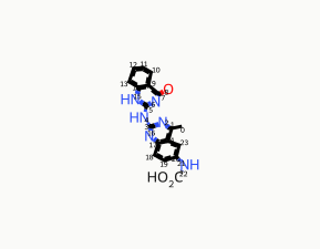 Cc1nc(Nc2nc(=O)c3ccccc3[nH]2)nc2ccc(NC(=O)O)cc12